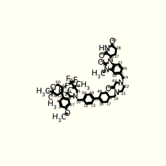 COc1ccc([C@]2(CCN(Cc3ccc(C4=CCC(CN5CCN(Cc6ccc7c(c6)n(C)c(=O)n7C6CCC(=O)NC6=O)CC5=O)CC4)cc3)CC(C)(C)C(F)(F)F)CCOC(C)(C)C2)cc1